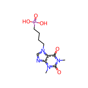 Cn1c(=O)c2c(ncn2CCCCP(=O)(O)O)n(C)c1=O